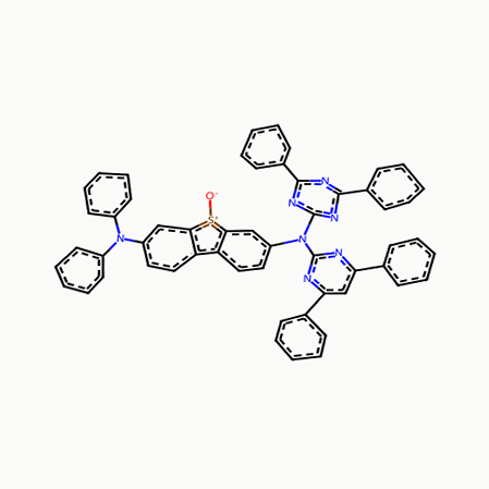 [O-][s+]1c2cc(N(c3ccccc3)c3ccccc3)ccc2c2ccc(N(c3nc(-c4ccccc4)cc(-c4ccccc4)n3)c3nc(-c4ccccc4)nc(-c4ccccc4)n3)cc21